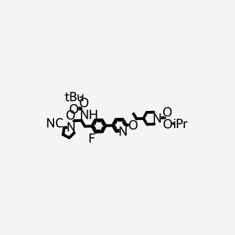 CC(C)OC(=O)N1CCC(C(C)Oc2ccc(-c3ccc(CC(NC(=O)OC(C)(C)C)C(=O)N4CCC[C@H]4C#N)c(F)c3)cn2)CC1